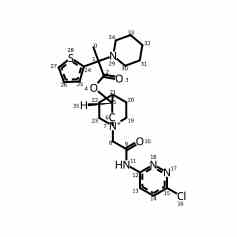 CC(C(=O)O[C@H]1C[N+]2(CC(=O)Nc3ccc(Cl)nn3)CCC1CC2)(c1cccs1)N1CCCCC1